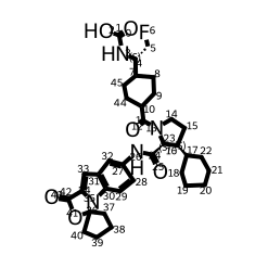 O=C(O)N[C@H](CF)C1CCC(C(=O)N2CC[C@@H](C3CCCCC3)[C@H]2C(=O)Nc2ccc3c(c2)cc2n3C3(CCCC3)OC2=O)CC1